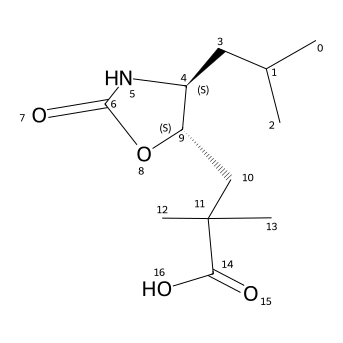 CC(C)C[C@@H]1NC(=O)O[C@H]1CC(C)(C)C(=O)O